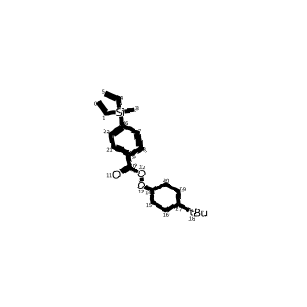 C=C[Si](C)(C=C)c1ccc(C(=O)OO[C]2CCC(C(C)(C)C)CC2)cc1